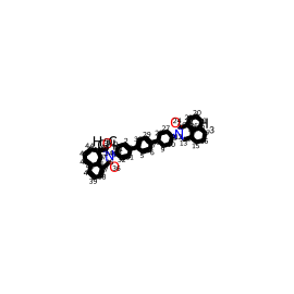 CC1C=C(c2ccc(C3CCC(N4CC5CCCC6CCCC(C4=O)[C@@]65C)CC3)cc2)C=CC1N1C(=O)C2=CC=CC3=CC=CC(C)(CC32)C1=O